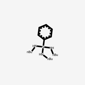 CCCCN[Si](NCCCC)(NCCCC)c1ccccc1